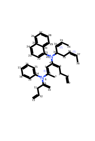 C=CCC=C(/C=C(\C)N(C(=C)CC=C)c1ccccc1)N(c1cccc2ccccc12)C(/C=C\C)C/C=C\C